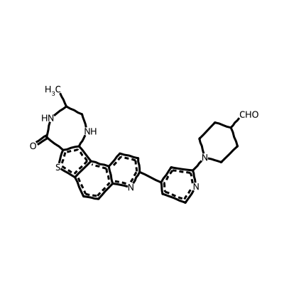 CC1CNc2c(sc3ccc4nc(-c5ccnc(N6CCC(C=O)CC6)c5)ccc4c23)C(=O)N1